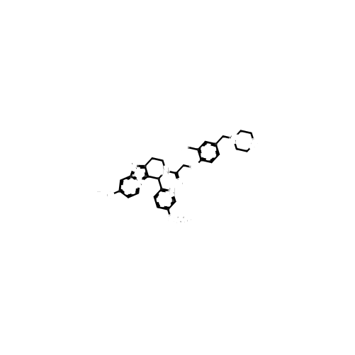 COc1ccc(C2c3c(nc4cc(C(F)(F)F)ccn34)CCN2C(=O)COc2ccc(CN3CCOCC3)cc2Cl)nc1